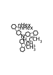 CCCCCCC1(CCCCCC)c2ccccc2-c2ccc(N(c3ccc4c(c3)C(C)(C)c3ccccc3-4)c3ccc4c(c3)C(C)(C)c3ccccc3-4)cc21